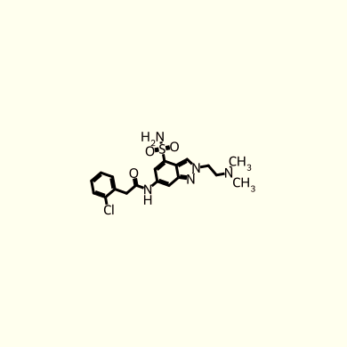 CN(C)CCn1cc2c(S(N)(=O)=O)cc(NC(=O)Cc3ccccc3Cl)cc2n1